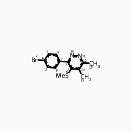 CSc1c(-c2ccc(Br)cc2)nnc(C)c1C